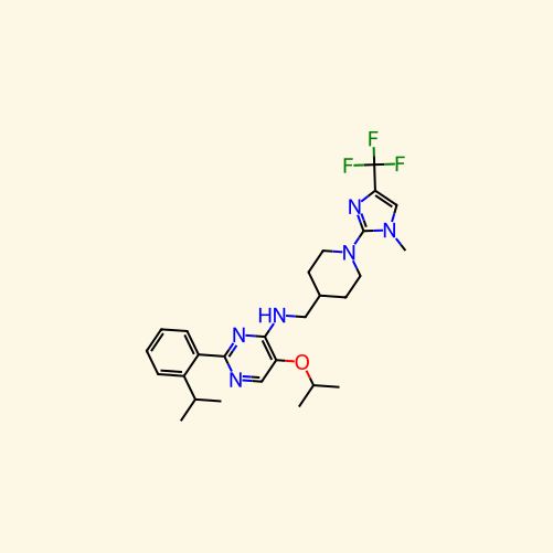 CC(C)Oc1cnc(-c2ccccc2C(C)C)nc1NCC1CCN(c2nc(C(F)(F)F)cn2C)CC1